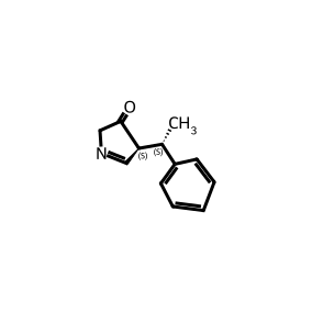 C[C@H](c1ccccc1)[C@H]1C=NCC1=O